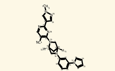 Cn1cc(-c2ncc(C#N)c(N3C[C@H]4C[C@H]3CN4c3cccc(-n4cccc4)c3)n2)cn1